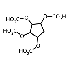 O=C(O)OC1CC(OC(=O)O)C(OC(=O)O)C1OC(=O)O